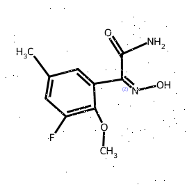 COc1c(F)cc(C)cc1/C(=N/O)C(N)=O